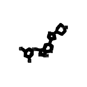 Clc1cc(Cl)cc(Nc2n[nH]c3ncc(-c4cnn(C5CCNCC5)c4)cc23)c1